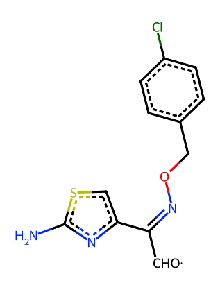 Nc1nc(C([C]=O)=NOCc2ccc(Cl)cc2)cs1